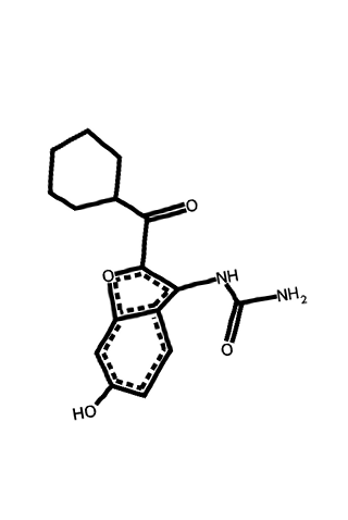 NC(=O)Nc1c(C(=O)C2CCCCC2)oc2cc(O)ccc12